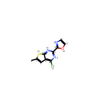 Cc1cc2c(Cl)nc(-c3ncco3)nc2s1